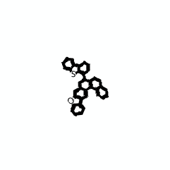 c1ccc2c(c1)ccc1c(-c3cccc4c3sc3ccccc34)cc3cc4oc5ccccc5c4cc3c12